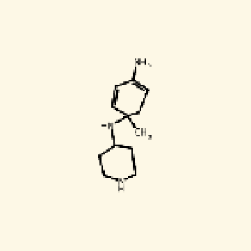 CC1(NC2CCNCC2)C=CC(N)=CC1